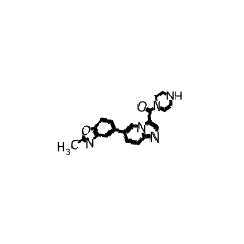 Cc1nc2cc(-c3ccc4ncc(C(=O)N5CCNCC5)n4c3)ccc2o1